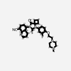 CN1CCN(CCOc2ccc(N3C(=S)N(c4ccc(C#N)c5ncccc45)C(=O)C34CCC4)cc2F)CC1